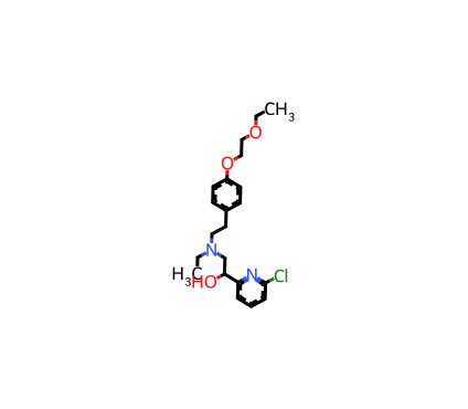 CCOCCOc1ccc(CCN(CC)CC(O)c2cccc(Cl)n2)cc1